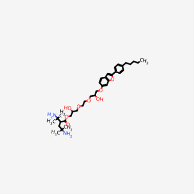 CCCCCc1ccc(-c2cc3ccc(OCC(O)COCCOCC(O)COC(=O)C(CC(C)(C)N)C(C)(C)N)cc3o2)cc1